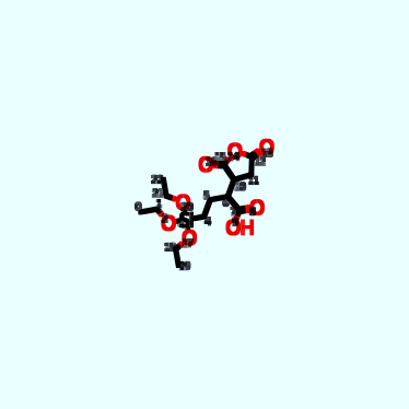 CCO[Si](CCC(C(=O)O)C1CC(=O)OC1=O)(OCC)OCC